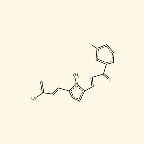 Cn1c(/C=C/C(N)=O)ccc1/C=C/C(=O)c1cccc(F)c1